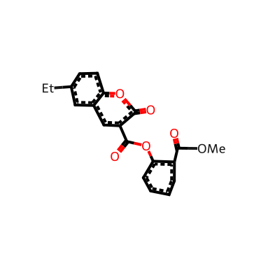 CCc1ccc2oc(=O)c(C(=O)Oc3ccccc3C(=O)OC)cc2c1